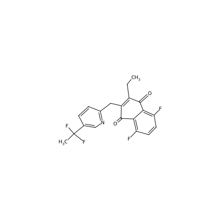 CCC1=C(Cc2ccc(C(C)(F)F)cn2)C(=O)c2c(F)ccc(F)c2C1=O